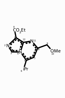 CCOC(=O)c1ncn2c(C(C)C)cc(COC)nc12